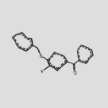 O=C(c1ccccc1)c1ccc(SCc2ccccc2)c(F)c1